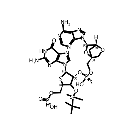 CC(C)(C)[Si](C)(C)OC1[C@@H](OP(O)(=S)OC[C@]23CO[C@H](C2)[C@H](n2cnc4c(N)ncnc42)O3)[C@H](n2cnc3c(=O)[nH]c(N)nc32)S[C@@H]1CO[PH](=O)O